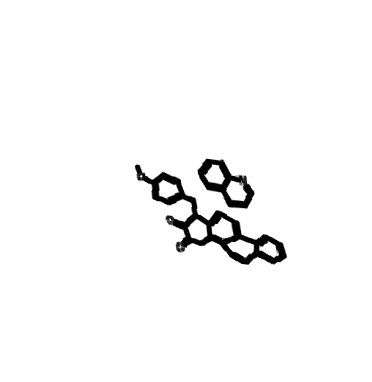 COc1ccc(CC2C(=O)C(=O)Cc3c2ccc2c3ccc3ccccc32)cc1.c1ccc2ncccc2c1